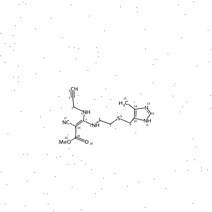 C#CCNC(NCCSCc1[nH]cnc1C)=C(C#N)C(=O)OC